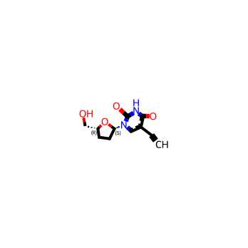 C#Cc1cn([C@@H]2CC[C@H](CO)O2)c(=O)[nH]c1=O